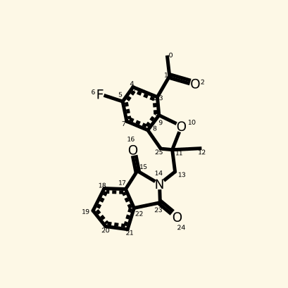 CC(=O)c1cc(F)cc2c1OC(C)(CN1C(=O)c3ccccc3C1=O)C2